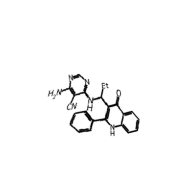 CCC(Nc1ncnc(N)c1C#N)c1c(-c2ccccc2)[nH]c2ccccc2c1=O